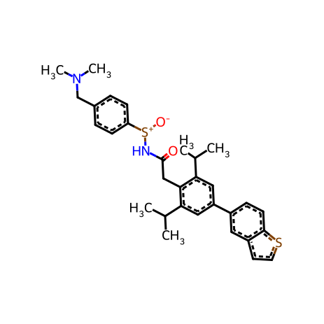 CC(C)c1cc(-c2ccc3sccc3c2)cc(C(C)C)c1CC(=O)N[S+]([O-])c1ccc(CN(C)C)cc1